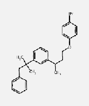 CC(C)c1ccc(OCCC(C)c2cccc(C(C)(C)Cc3ccccc3)c2)cc1